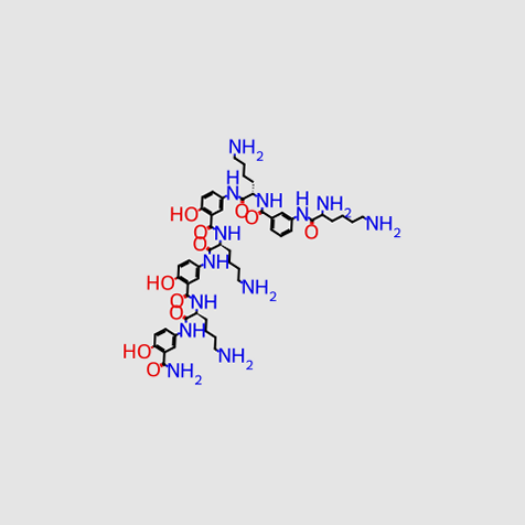 NCCCC[C@H](NC(=O)c1cccc(NC(=O)[C@@H](N)CCCCN)c1)C(=O)Nc1ccc(O)c(C(=O)N[C@@H](CCCCN)C(=O)Nc2ccc(O)c(C(=O)N[C@@H](CCCCN)C(=O)Nc3ccc(O)c(C(N)=O)c3)c2)c1